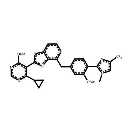 COc1cc(Cc2nccc3nc(-c4c(OC)ncnc4C4CC4)oc23)ccc1-c1nc(C(F)(F)F)cn1C